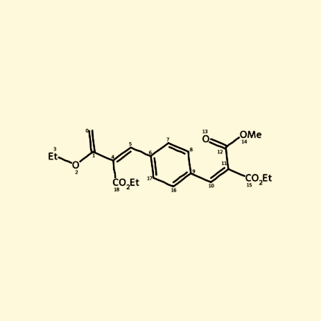 C=C(OCC)/C(=C/c1ccc(/C=C(\C(=O)OC)C(=O)OCC)cc1)C(=O)OCC